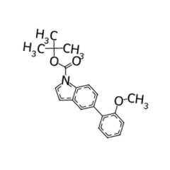 COc1ccccc1-c1ccc2c(ccn2C(=O)OC(C)(C)C)c1